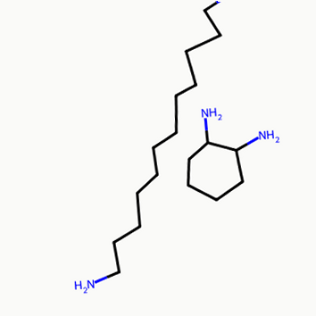 NC1CCCCC1N.NCCCCCCCCCCCCN